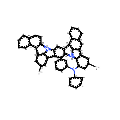 CC(C)(C)c1cc(N(c2ccccc2)c2ccccc2)c2c(c1)c1cc3ccccc3c3c4cc5c(cc4n2c13)c1cc(C(C)(C)C)cc2c3c4ccccc4ccc3n5c12